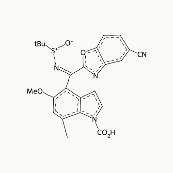 COc1cc(C)c2c(ccn2C(=O)O)c1C(=N[S+]([O-])C(C)(C)C)c1nc2cc(C#N)ccc2o1